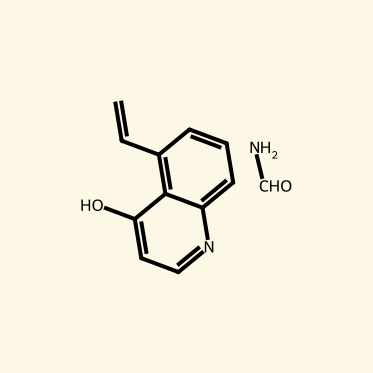 C=Cc1cccc2nccc(O)c12.NC=O